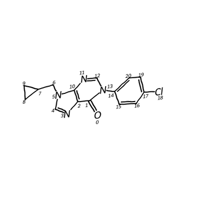 O=c1c2ncn(CC3CC3)c2ncn1-c1ccc(Cl)cc1